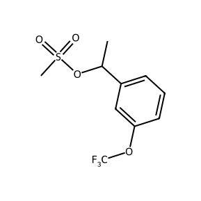 CC(OS(C)(=O)=O)c1cccc(OC(F)(F)F)c1